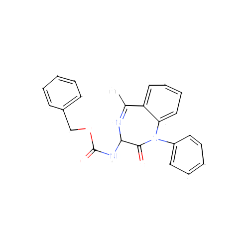 CC(C)C1=NC(NC(=O)OCc2ccccc2)C(=O)N(c2ccccc2)c2ccccc21